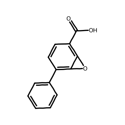 O=C(O)c1ccc(-c2ccccc2)c2c1O2